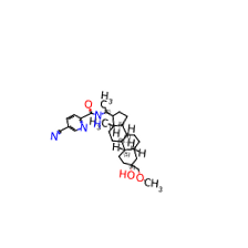 COC[C@@]1(O)CC[C@H]2[C@H](CC[C@@H]3[C@@H]2CC[C@]2(C)C([C@H](C)NC(=O)c4ccc(C#N)cn4)CC[C@@H]32)C1